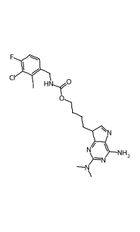 CN(C)c1nc(N)c2c(n1)C(CCCCOC(=O)NCc1ccc(F)c(Cl)c1I)C=N2